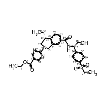 CCOC(=O)c1cnc(N2Cc3cc(C(=O)N[C@@H](CO)c4ccc(S(=O)(=O)CC)cc4)ccc3[C@@H](CC)C2)nc1